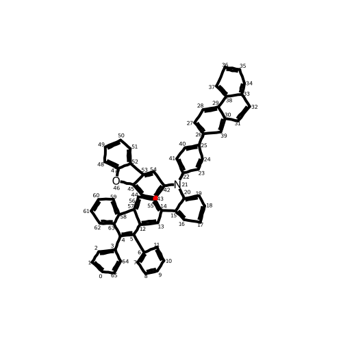 c1ccc(-c2c(-c3ccccc3)c3cc(-c4ccccc4N(c4ccc(-c5ccc6c(ccc7ccccc76)c5)cc4)c4ccc5oc6ccccc6c5c4)ccc3c3ccccc23)cc1